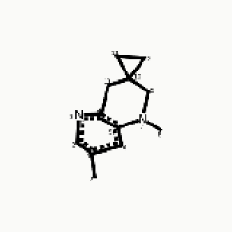 Cc1cnc2c(c1)N(C)CC1(CC1)C2